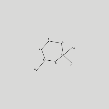 CC1C[CH]CC(C)(C)C1